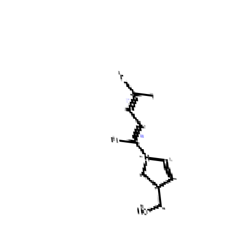 CC/C(=C\C=C(/C)F)N1CC(CO)C=N1